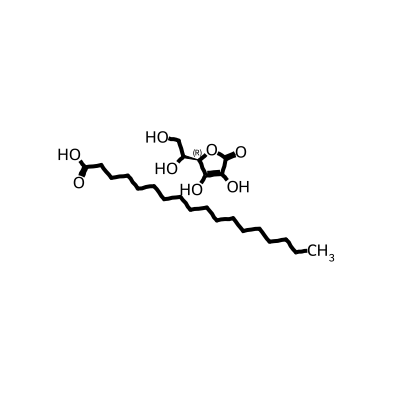 CCCCCCCCCCCCCCCCCC(=O)O.O=C1O[C@H](C(O)CO)C(O)=C1O